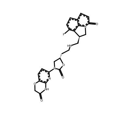 O=C1COc2ccc(N3C[C@H](CCNC[C@@H]4Cn5c(=O)ccc6ccc(F)c4c65)OC3=O)nc2N1